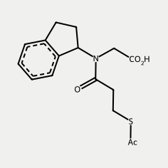 CC(=O)SCCC(=O)N(CC(=O)O)C1CCc2ccccc21